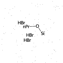 Br.Br.Br.CCCO[Si]